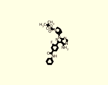 CC(C)(C)OC(=O)N1CC2CC1C(n1nc(-c3ccc(C(=O)Nc4ccccc4)cc3F)c3c(N)ncnc31)C2